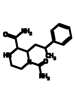 CC(CC1C(C(N)=O)NCCN1C(N)=O)c1ccccc1